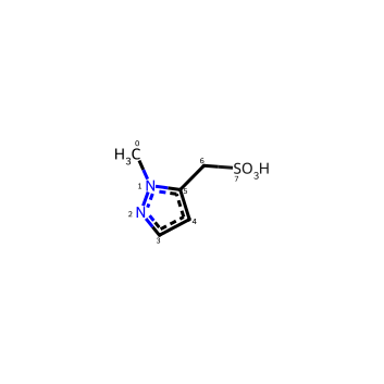 Cn1nccc1CS(=O)(=O)O